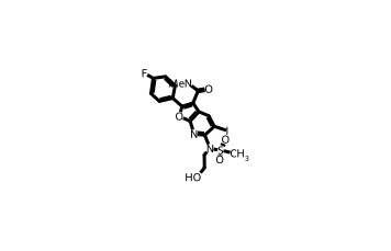 CNC(=O)c1c(-c2ccc(F)cc2)oc2nc(N(CCO)S(C)(=O)=O)c(I)cc12